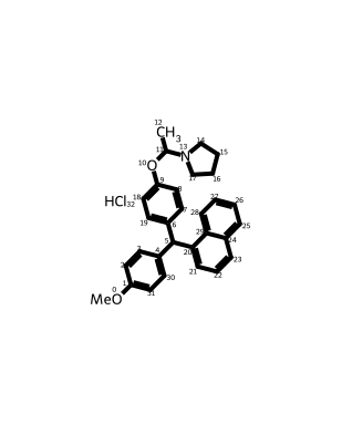 COc1ccc(C(c2ccc(OC(C)N3CCCC3)cc2)c2cccc3ccccc23)cc1.Cl